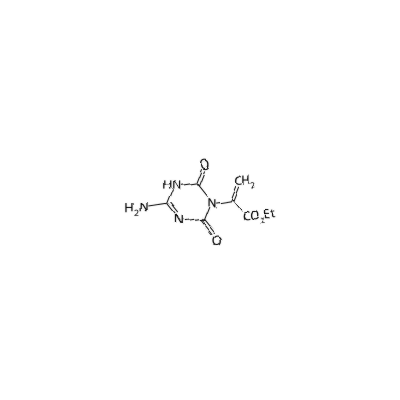 C=C(C(=O)OCC)n1c(=O)nc(N)[nH]c1=O